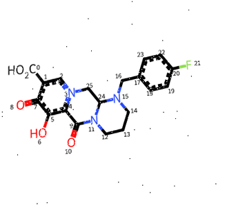 O=C(O)c1cn2c(c(O)c1=O)C(=O)N1CCCN(Cc3ccc(F)cc3)C1C2